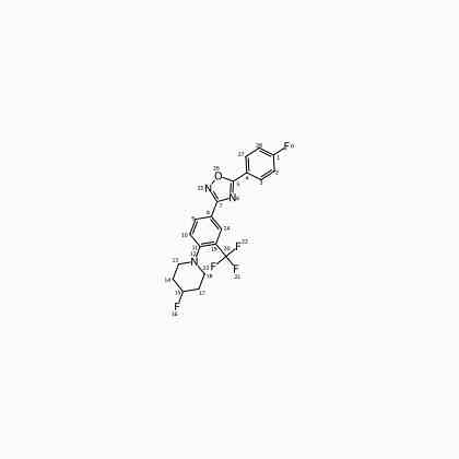 Fc1ccc(-c2nc(-c3ccc(N4CCC(F)CC4)c(C(F)(F)F)c3)no2)cc1